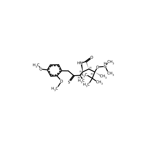 COc1ccc(CC(=S)[C@H](C)[C@H]2NC(=O)[C@@H]2[C@@](C)(O[SiH](C)C)C(C)(C)C)c(OC)c1